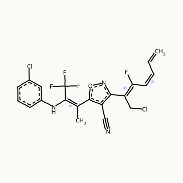 C=C/C=C\C(F)=C(/CCl)c1noc(/C(C)=C(/Nc2cccc(Cl)c2)C(F)(F)F)c1C#N